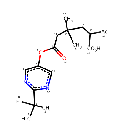 CCC(C)(C)c1ncc(OC(=O)CC(C)(C)CC(C(C)=O)C(=O)O)cn1